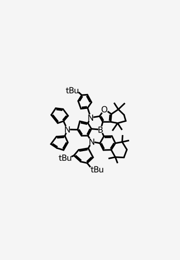 CC(C)(C)c1ccc(N2c3cc(N(c4ccccc4)c4ccccc4)cc4c3B(c3cc5c(cc3N4c3cc(C(C)(C)C)cc(C(C)(C)C)c3)C(C)(C)CCC5(C)C)c3c2oc2c3C(C)(C)CCC2(C)C)cc1